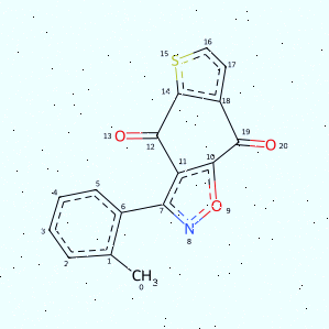 Cc1ccccc1-c1noc2c1C(=O)c1sccc1C2=O